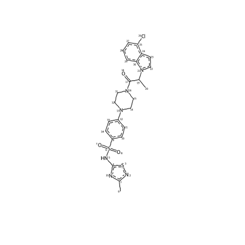 Cc1nsc(NS(=O)(=O)c2ccc(N3CCN(C(=O)C(C)n4ccc5c(Cl)cccc54)CC3)cc2)n1